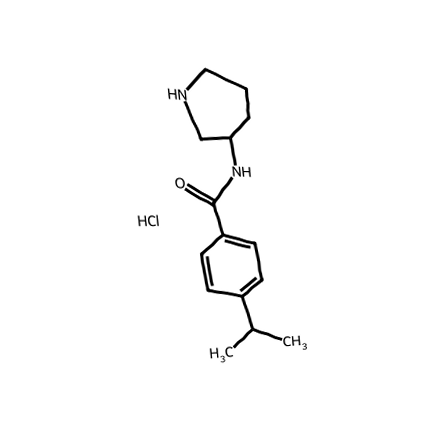 CC(C)c1ccc(C(=O)NC2CCCNC2)cc1.Cl